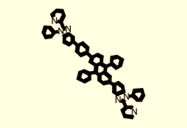 c1ccc(-c2c3ccc(-c4ccc5c(c4)nc(-c4cccnc4)n5-c4ccccc4)cc3c(-c3ccccc3)c3ccc(-c4ccc(-c5ccc6c(c5)nc(-c5ccccn5)n6-c5ccccc5)cc4)cc23)cc1